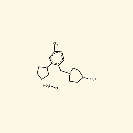 CS(=O)(=O)O.O=C(O)N1CCN(Cc2ccc(C(F)(F)F)cc2N2CCCC2)CC1